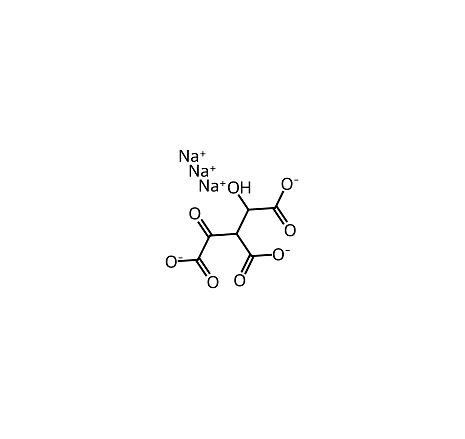 O=C([O-])C(=O)C(C(=O)[O-])C(O)C(=O)[O-].[Na+].[Na+].[Na+]